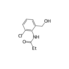 CCC(=O)Nc1c(Cl)cccc1CO